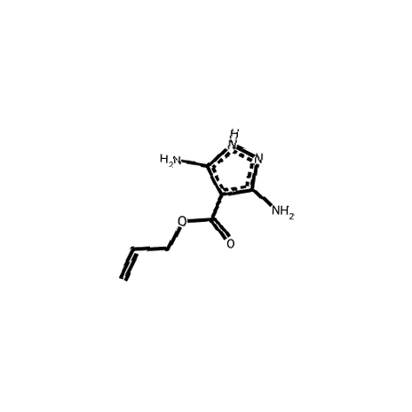 C=CCOC(=O)c1c(N)n[nH]c1N